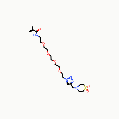 C=C(C)C(=O)NCCOCCOCCOCCOCCn1cc(CN2CCS(=O)(=O)CC2)nn1